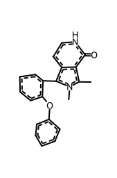 Cc1c2c(=O)[nH]ccc2c(-c2ccccc2Oc2ccccc2)n1C